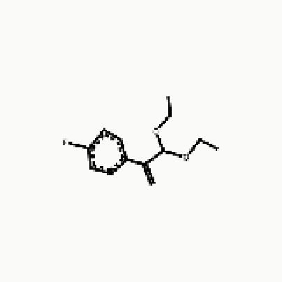 C=C(c1ccc(F)cc1)C(OCC)OCC